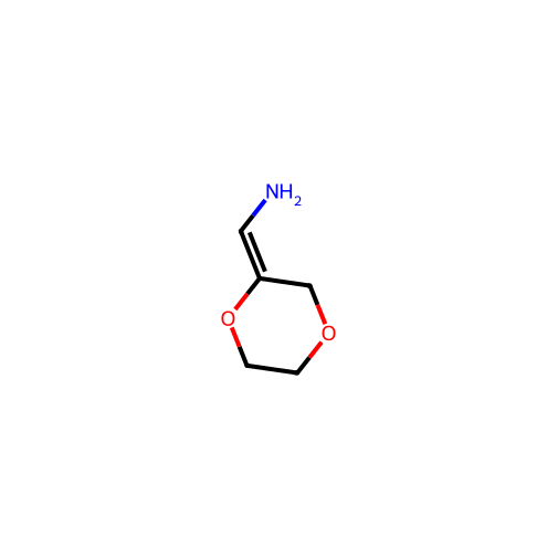 NC=C1COCCO1